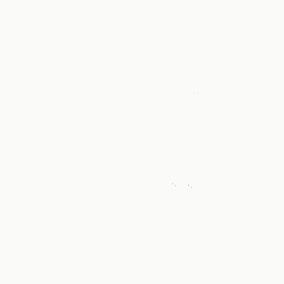 CC(C)(C)CCc1cc(C(C)(C)C)cc2cn[nH]c12